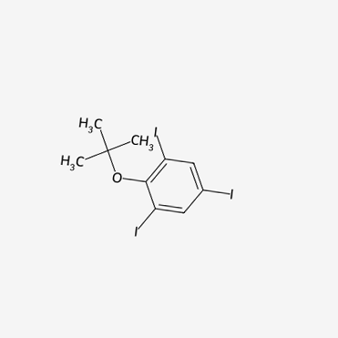 CC(C)(C)Oc1c(I)cc(I)cc1I